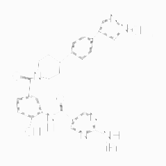 Cc1ccc(C(=O)N2CCC(c3ccc(-c4cnn(C)c4)cc3)CC2)cc1NC(=O)c1cnc(NC(C)C)nc1